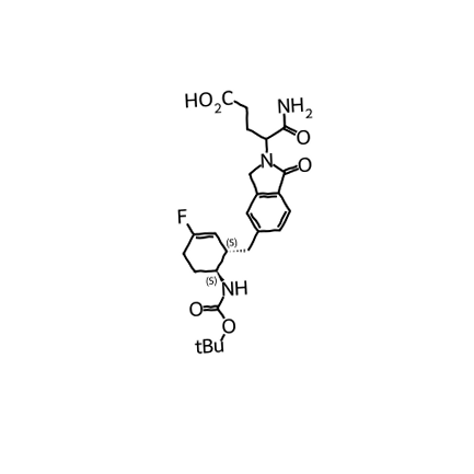 CC(C)(C)OC(=O)N[C@H]1CCC(F)=C[C@@H]1Cc1ccc2c(c1)CN(C(CCC(=O)O)C(N)=O)C2=O